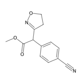 COC(=O)C(C1=NOCC1)c1ccc(C#N)cc1